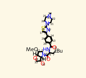 CO[C@H]1CN(C(=O)C(CC(C)(C)C)NC(=O)c2ccc(-c3csc(N4CCN(C)CC4)n3)cc2)[C@@H]2C(=O)CO[C@H]12